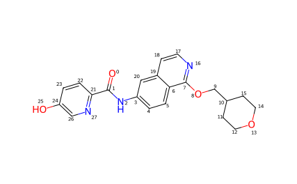 O=C(Nc1ccc2c(OCC3CCOCC3)nccc2c1)c1ccc(O)cn1